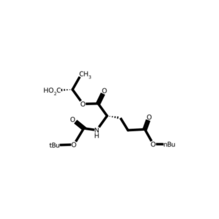 CCCCOC(=O)CC[C@H](NC(=O)OC(C)(C)C)C(=O)O[C@@H](C)C(=O)O